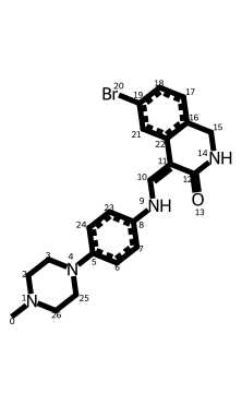 CN1CCN(c2ccc(N/C=C3\C(=O)NCc4ccc(Br)cc43)cc2)CC1